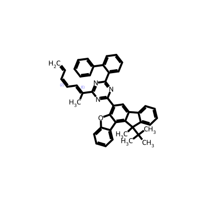 C=C/C=C\C=C(/C)c1nc(-c2ccccc2-c2ccccc2)nc(-c2cc3c(c4c2oc2ccccc24)C(C)(C(C)(C)C)c2ccccc2-3)n1